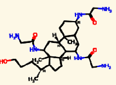 C[C@H](CCCO)C1CC[C@H]2C3C(NC(=O)CN)CC4C[C@H](NC(=O)CN)CCC4(C)[C@H]3CC(NC(=O)CN)C12C